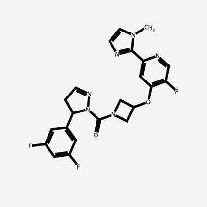 Cn1ccnc1-c1cc(OC2CN(C(=O)N3N=CCC3c3cc(F)cc(F)c3)C2)c(F)cn1